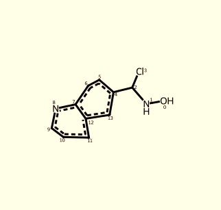 ONC(Cl)c1ccc2ncccc2c1